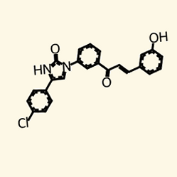 O=C(C=Cc1cccc(O)c1)c1cccc(-n2cc(-c3ccc(Cl)cc3)[nH]c2=O)c1